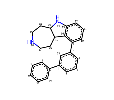 c1ccc(-c2cccc(-c3cccc4c3C3CCNCCC3N4)c2)cc1